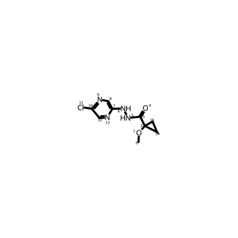 COC1(C(=O)NNc2cnc(Cl)cn2)CC1